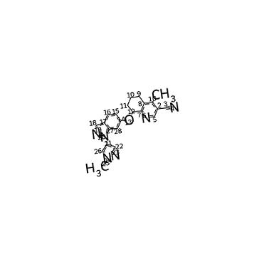 Cc1c(C#N)cnc2c1CCCC2Oc1ccc2cnn(-c3cnn(C)c3)c2c1